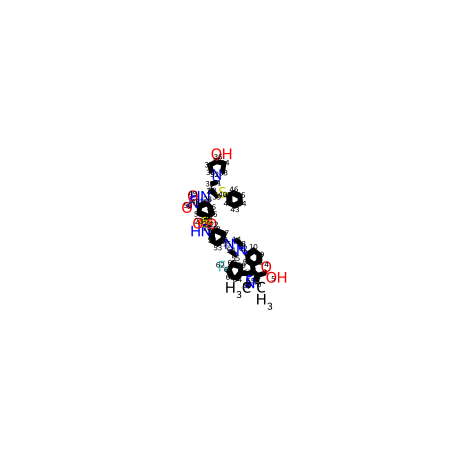 Cc1c(C(=O)O)c(-c2cccc(N3CCN(c4ccc(NS(=O)(=O)c5ccc(N[C@H](CCN6CCC(O)CC6)CSc6ccccc6)c([N+](=O)[O-])c5)cc4)CC3)c2)c(-c2ccc(F)cc2)n1C